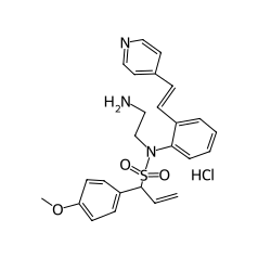 C=CC(c1ccc(OC)cc1)S(=O)(=O)N(CCN)c1ccccc1C=Cc1ccncc1.Cl